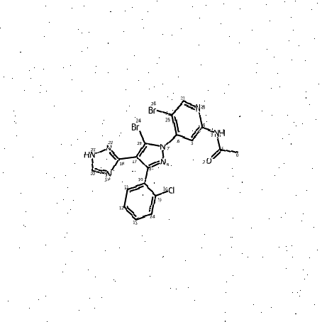 CC(=O)Nc1cc(-n2nc(-c3ccccc3Cl)c(-c3nc[nH]n3)c2Br)c(Br)cn1